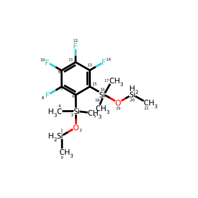 C[SiH2]O[Si](C)(C)c1c(F)c(F)c(F)c(F)c1[Si](C)(C)O[SiH2]C